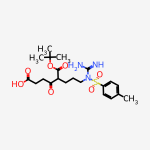 Cc1ccc(S(=O)(=O)N(CCCC(C(=O)CCC(=O)O)C(=O)OC(C)(C)C)C(=N)N)cc1